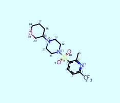 Cc1nc(C(F)(F)F)ccc1S(=O)(=O)N1CCN(C2CCCOC2)CC1